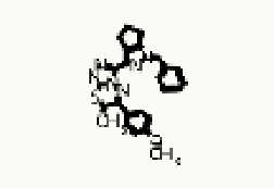 COc1ccc(C2=Nn3c(nnc3-c3nn(Cc4ccccc4)c4c3CCC4)SC2C)cc1